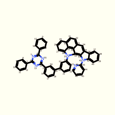 c1ccc(-c2nc(-c3ccccc3)nc(-c3cccc(-c4cccc(-n5c6cccc7ccc8cc9c%10ccccc%10n(-c%10ccccn%10)c9c5c8c76)c4)c3)n2)cc1